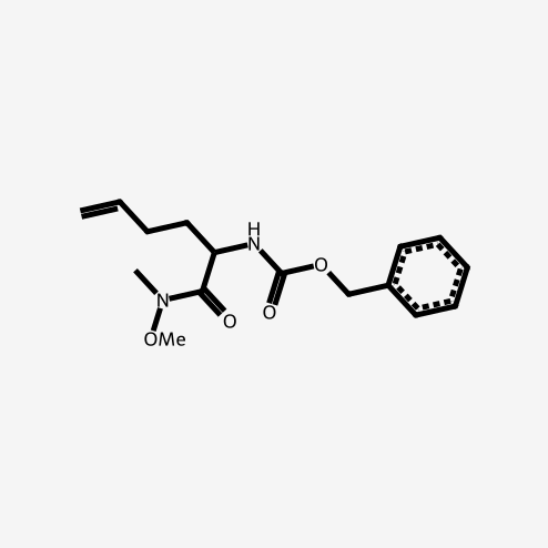 C=CCCC(NC(=O)OCc1ccccc1)C(=O)N(C)OC